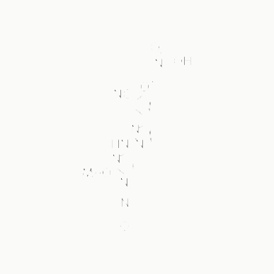 COc1nc(Nc2nccc(-c3ccc(OC4(C)CCN(C(=O)[C@H](C)O)CC4)c(C#N)c3)n2)ccc1N1CCN(C2COC2)CC1